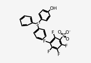 O=S(=O)([O-])c1c(F)c(F)c(F)c(F)c1F.Oc1ccc([S+](c2ccccc2)c2ccccc2)cc1